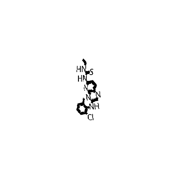 CCNC(=S)Nc1ccc2ncc(Nc3c(C)cccc3Cl)nc2n1